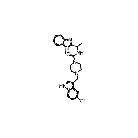 CC(NC(=O)N1CCN(Cc2c[nH]c3ccc(Cl)cc23)CC1)c1nc2ccccc2[nH]1